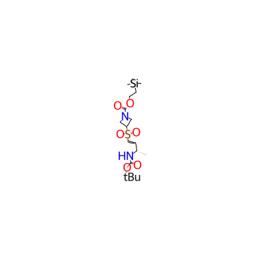 C[C@@H](/C=C/S(=O)(=O)C1CN(C(=O)OCC[Si](C)(C)C)C1)NC(=O)OC(C)(C)C